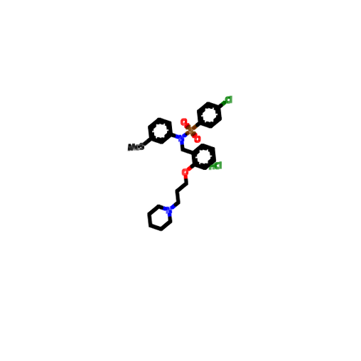 CSc1cccc(N(Cc2ccccc2OCCCN2CCCCC2)S(=O)(=O)c2ccc(Cl)cc2)c1.Cl